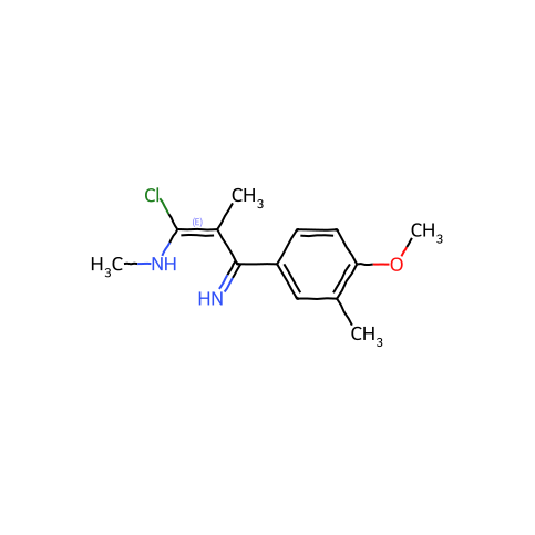 CN/C(Cl)=C(/C)C(=N)c1ccc(OC)c(C)c1